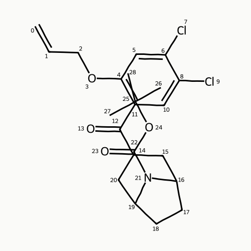 C=CCOc1cc(Cl)c(Cl)cc1C(=O)C1CC2CCC(C1)N2C(=O)OC(C)(C)C